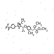 CCOC(=O)C(Cc1ccc(OC(c2sc(-c3ccc(C(F)(F)F)cc3)nc2C)C2CC2)cc1C)OCC